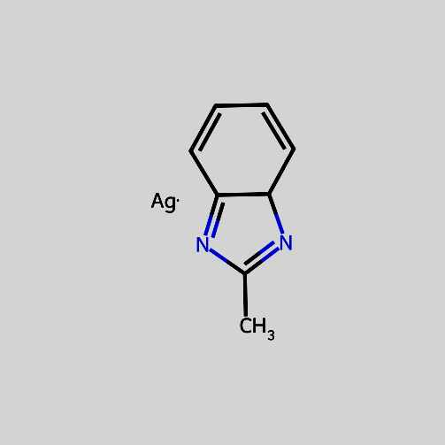 CC1=NC2C=CC=CC2=N1.[Ag]